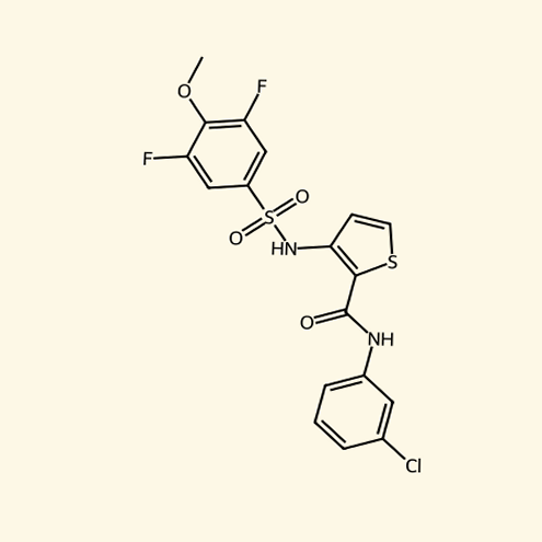 COc1c(F)cc(S(=O)(=O)Nc2ccsc2C(=O)Nc2cccc(Cl)c2)cc1F